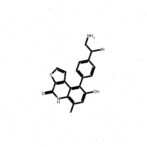 Cc1cc(O)c(-c2ccc(C(CN)C(C)C)cc2)c2c1[nH]c(=O)c1sccc12